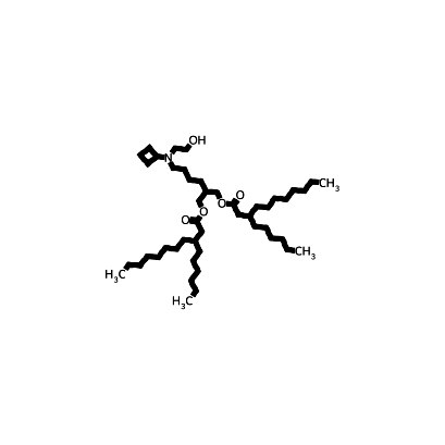 CCCCCCCCC(CCCCCC)CC(=O)OCC(CCCCN(CCO)C1CCC1)COC(=O)CC(CCCCCC)CCCCCCCC